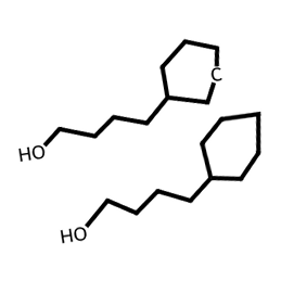 OCCCCC1CCCCC1.OCCCCC1CCCCC1